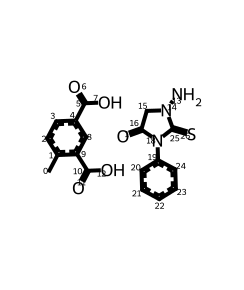 Cc1ccc(C(=O)O)cc1C(=O)O.NN1CC(=O)N(c2ccccc2)C1=S